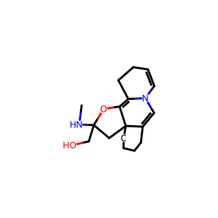 CNC1(CO)CC23CCCCC2=CN2C=CCCC2=C3O1